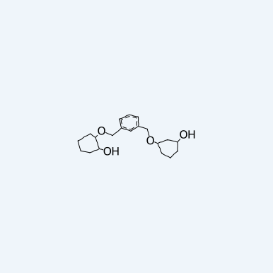 OC1CCCC(OCc2cccc(COC3CCCCC3O)c2)C1